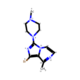 CC(=O)N1CCN(c2nc(Br)c3c(C)nccn23)CC1